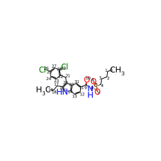 CCCCCS(=O)(=O)NC(=O)c1ccc2[nH]c(CCC)c(Cc3ccc(Cl)cc3Cl)c2c1